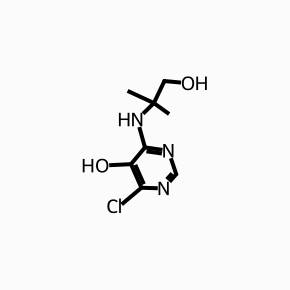 CC(C)(CO)Nc1ncnc(Cl)c1O